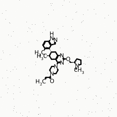 C=CC(=O)N1CCN(c2nc(OC[C@H]3CCCN3C)nc3c2C[C@@H](C)[C@H](c2c(C)ccc4[nH]ncc24)C3)CC1